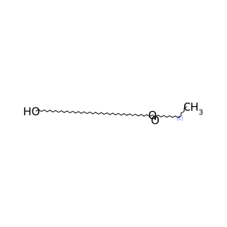 CCCC/C=C\CCCCCCCC(=O)OCCCCCCCCCCCCCCCCCCCCCCCCCCCCCCCCCCCCCCCCO